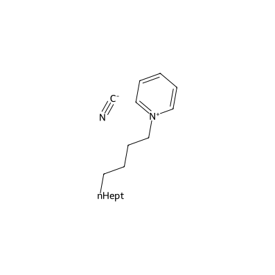 CCCCCCCCCCC[n+]1ccccc1.[C-]#N